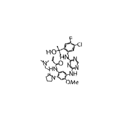 C=CC(=O)Nc1cc(Nc2ncnc(Nc3cc(Cl)c(F)cc3C(C)(C)O)n2)c(OC)cc1N1CCC[C@@H]1CCN(C)C